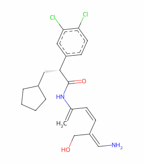 C=C(/C=C\C(=C/N)CO)NC(=O)[C@H](CC1CCCC1)c1ccc(Cl)c(Cl)c1